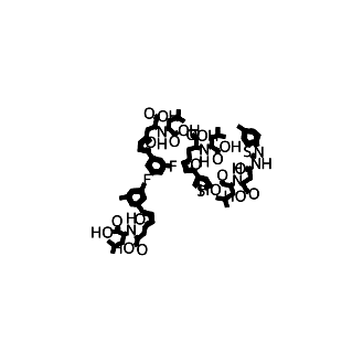 CC(C)CC(NC(Cc1ccc(-c2cc(F)cc(F)c2)o1)C(=O)O)C(=O)O.CC(C)CC(NC(Cc1ccc(-c2ccsc2)o1)C(=O)O)C(=O)O.Cc1cc(C)cc(-c2ccc(CC(NC(CC(C)C)C(=O)O)C(=O)O)o2)c1.Cc1ccc2nc(NC(=O)CC(NC(CC(C)C)C(=O)O)C(=O)O)sc2c1